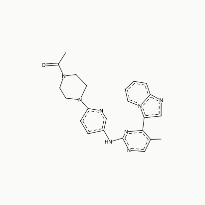 CC(=O)N1CCN(c2ccc(Nc3ncc(C)c(-c4cnc5ccccn45)n3)cn2)CC1